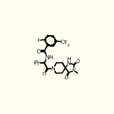 CC(C)C(NC(=O)c1cc(C(F)(F)F)ccc1F)C(=O)N1CCC2(CC1)NC(=O)N(C)C2=O